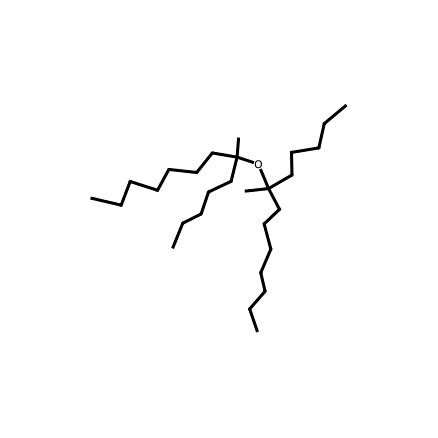 CCCCCCCC(C)(CCCCC)OC(C)(CCCCC)CCCCCCC